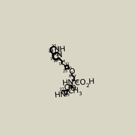 CC1(OC(=O)N[C@@H](CCO[C@H]2C[C@H](CCc3ccc4c(n3)NCCC4)C2)C(=O)O)CNC1